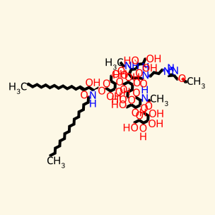 CCCCCCCCCCCCC/C=C/[C@H](O)[C@@H](CO[C@@H]1OC(CO)[C@@H](O[C@@H]2OC(CO)[C@H](O[C@@H]3OC(CO)[C@H](O)C(O[C@@H]4OC(CO)[C@H](O)C(O)[C@@H]4O)[C@@H]3NC(C)=O)C(O[C@]3(C(=O)NCCCCn4cc(COCC)nn4)C[C@@H](O)[C@@H](NC(C)=O)C([C@H](O)[C@H](O)CO)O3)[C@@H]2O)C(O)[C@@H]1O)NC(=O)CCCCCCCCCCCCCCCCC